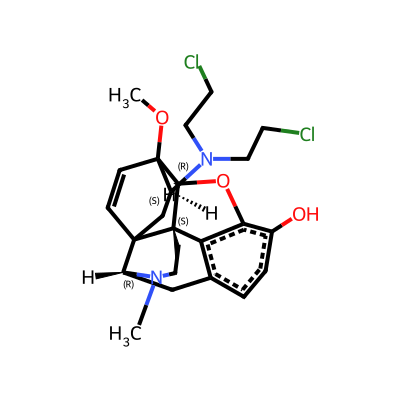 COC12C=CC3(C[C@@H]1N(CCCl)CCCl)[C@H]1Cc4ccc(O)c5c4[C@@]3(CCN1C)[C@H]2O5